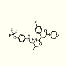 CC(C)C(CNc1ccc(OC(F)(F)F)cc1)NC(=O)C(CC(=O)N1CCOCC1)c1ccc(F)cc1